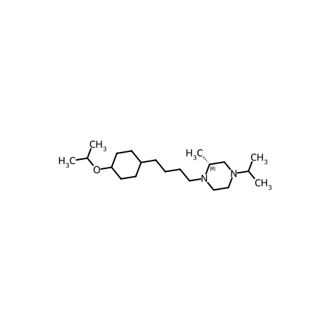 CC(C)OC1CCC(CCCCN2CCN(C(C)C)C[C@H]2C)CC1